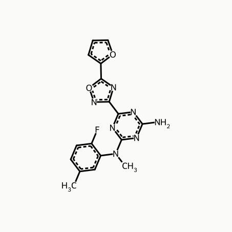 Cc1ccc(F)c(N(C)c2nc(N)nc(-c3noc(-c4ccco4)n3)n2)c1